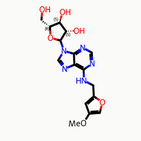 COc1coc(CNc2ncnc3c2ncn3C2O[C@H](CO)[C@@H](O)[C@@H]2O)c1